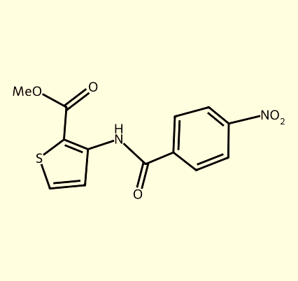 COC(=O)c1sccc1NC(=O)c1ccc([N+](=O)[O-])cc1